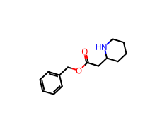 O=C(CC1CCCCN1)OCc1ccccc1